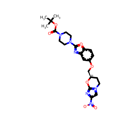 CC(C)(C)OC(=O)N1CCN(c2nc3cc(OC[C@H]4CCn5cc([N+](=O)[O-])nc5O4)ccc3o2)CC1